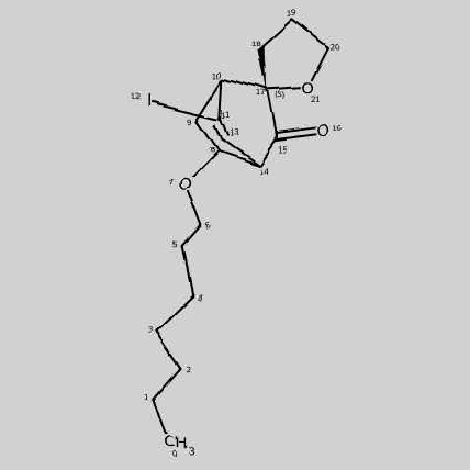 CCCCCCCOC1CC2C(I)=CC1C(=O)[C@]21CCCO1